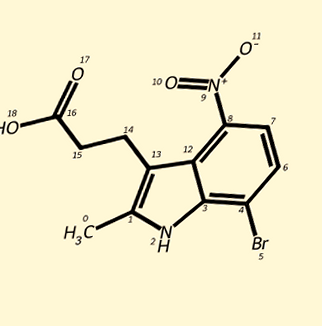 Cc1[nH]c2c(Br)ccc([N+](=O)[O-])c2c1CCC(=O)O